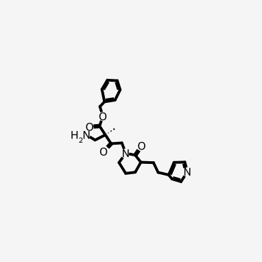 C[C@@](CN)(C(=O)CN1CCCC(CCc2ccncc2)C1=O)C(=O)OCc1ccccc1